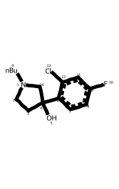 CCCCN1CCC(O)(c2ccc(F)cc2Cl)C1